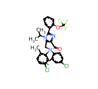 Cc1cc(Cl)ccc1[N+]1(c2cc(Cl)ccc2C)Cc2c(nc(-c3ccccc3OC(F)(F)F)n2C(C)C)C1=O